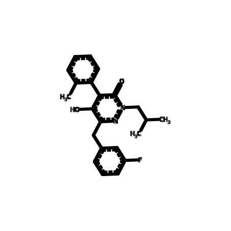 Cc1ccccc1-c1c(O)c(Cc2cccc(F)c2)nn(CC(C)C)c1=O